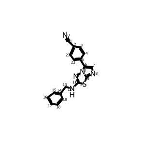 N#Cc1ccc(-c2cnc3sc(NCc4ccccc4)nn23)cc1